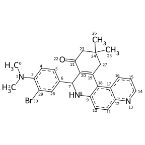 CN(C)c1ccc(C2Nc3ccc4ncccc4c3C3=C2C(=O)CC(C)(C)C3)cc1Br